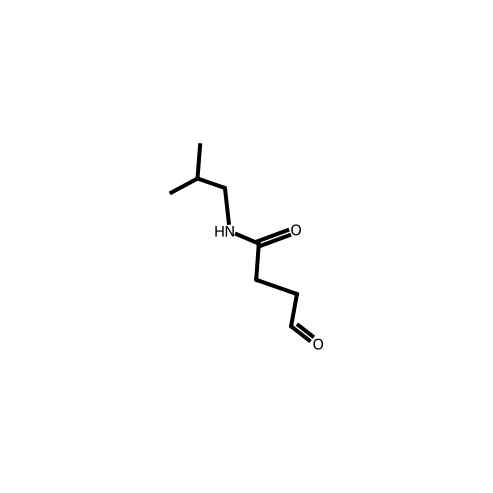 CC(C)CNC(=O)CCC=O